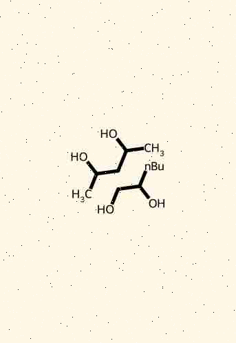 CC(O)CC(C)O.CCCCC(O)CO